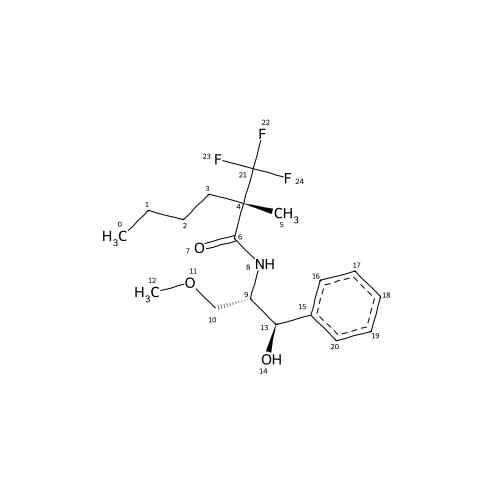 CCCC[C@@](C)(C(=O)N[C@@H](COC)[C@H](O)c1ccccc1)C(F)(F)F